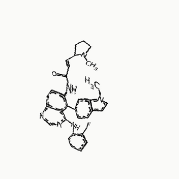 CN1CCCC1C=CC(=O)Nc1ccc2ncnc(Nc3ccccc3F)c2c1-c1ccc2ccn(C)c2c1